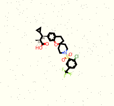 C[C@H](C(=O)O)[C@H](c1ccc2c(c1)OC1(CC2)CCN(S(=O)(=O)c2cc(C(F)(F)F)ccc2Cl)CC1)C1CC1